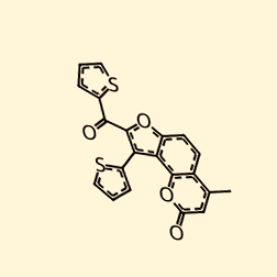 Cc1cc(=O)oc2c1ccc1oc(C(=O)c3cccs3)c(-c3cccs3)c12